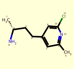 Cc1cc(CC[C@@H](C)N)cc(Cl)n1